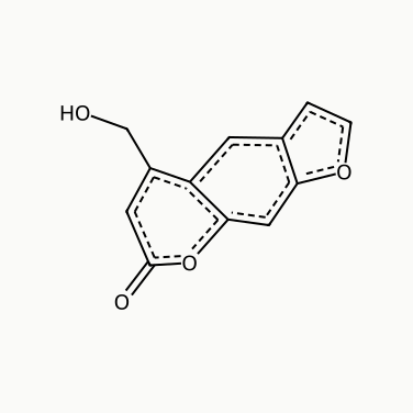 O=c1cc(CO)c2cc3ccoc3cc2o1